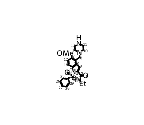 CCNC(=O)c1cc2c(CN3CCNCC3)c(OC)ccc2n1S(=O)(=O)c1ccccc1